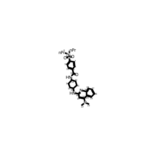 CCCN(CCC)S(=O)(=O)c1ccc(C(=O)NC2CCC(Nc3cc(N(C)C)c4ccccc4n3)CC2)cc1